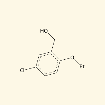 CCOc1ccc(Cl)cc1CO